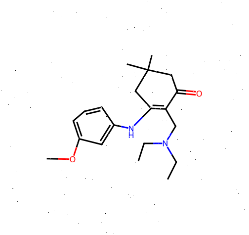 CCN(CC)CC1=C(Nc2cccc(OC)c2)CC(C)(C)CC1=O